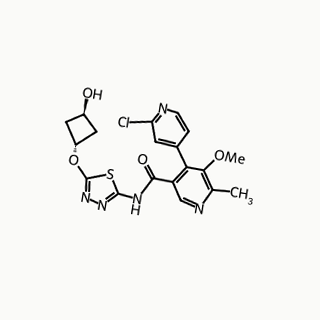 COc1c(C)ncc(C(=O)Nc2nnc(O[C@H]3C[C@H](O)C3)s2)c1-c1ccnc(Cl)c1